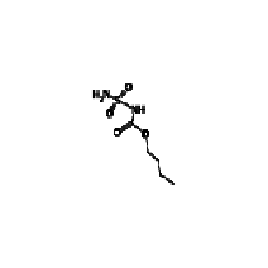 CCCCOC(=O)NS(N)(=O)=O